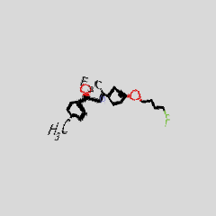 Cc1ccc(C(=O)/C=C(/c2ccc(OCCCCF)cc2)C(F)(F)F)cc1